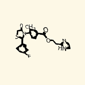 Cc1cc(C(=O)OCCc2ncc[nH]2)ccc1N1C(=O)CSC1c1ccc(F)cc1